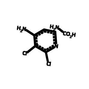 NC(=O)O.Nc1ccnc(Cl)c1Cl